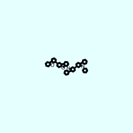 c1ccc(-n2c3ccccc3c3ccc(-c4ccc5c6ccccc6n(-c6cccc7c6oc6ccc(-c8cccc9c8oc8ccccc89)cc67)c5c4)cc32)cc1